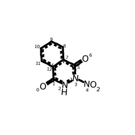 O=c1[nH]n([N+](=O)[O-])c(=O)c2ccccc12